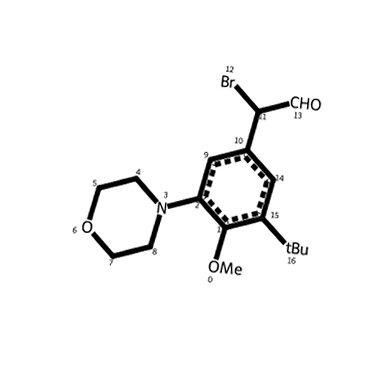 COc1c(N2CCOCC2)cc(C(Br)C=O)cc1C(C)(C)C